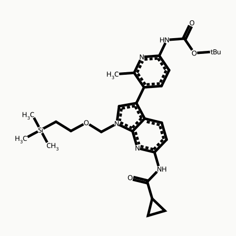 Cc1nc(NC(=O)OC(C)(C)C)ccc1-c1cn(COCC[Si](C)(C)C)c2nc(NC(=O)C3CC3)ccc12